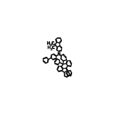 CC1(C)c2ccccc2-c2ccc(N(C3=CC(C4(C5C=CC=CC5)c5ccccc5C5(c6ccccc6)c6ccccc6-c6cccc4c65)CC=C3)c3ccc(-c4ccccc4)cc3)cc21